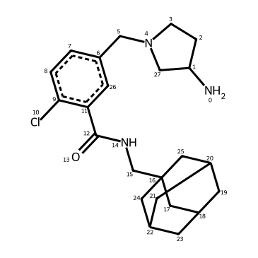 NC1CCN(Cc2ccc(Cl)c(C(=O)NCC34CC5CC(CC(C5)C3)C4)c2)C1